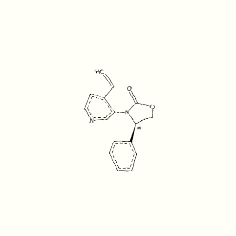 [CH]=Cc1ccncc1N1C(=O)OC[C@H]1c1ccccc1